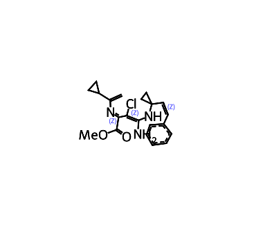 C=C(/N=C(C(=O)OC)\C(Cl)=C(/N)NC1(/C=C\c2ccccc2)CC1)C1CC1